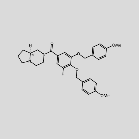 COc1ccc(COc2cc(C(=O)N3CCN4CCC[C@H]4C3)cc(F)c2OCc2ccc(OC)cc2)cc1